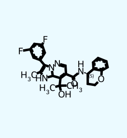 CC1=C(c2cc(F)cc(F)c2)N2N=CC(C(=O)N[C@H]3CCOc4ccccc43)=C(C(C)(C)O)C2N1